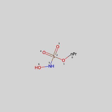 CCCOS(=O)(=O)NO